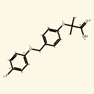 CC(C)(Oc1ccc(COc2ccc(F)cc2)cc1)C(=O)O